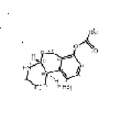 Br.CC(C)(C)C(=O)Oc1cccc2c1CC[C@H]1NCCC[C@H]21